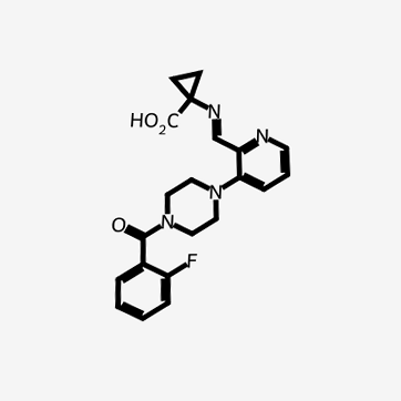 O=C(c1ccccc1F)N1CCN(c2cccnc2C=NC2(C(=O)O)CC2)CC1